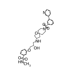 CNS(=O)(=O)c1cccc(OC[C@@H](O)CN[C@@H]2COC3(CCN(S(=O)(=O)c4cccc(-c5cccnc5)c4)CC3)C2)c1